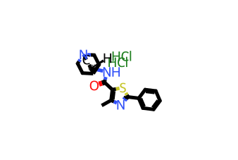 Cc1nc(-c2ccccc2)sc1C(=O)N[C@H]1CN2CCC1CC2.Cl.Cl